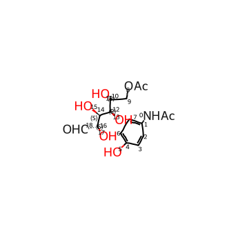 CC(=O)Nc1ccc(O)cc1.CC(=O)OC[C@@H](O)[C@@H](O)[C@H](O)[C@H](O)C=O